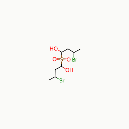 CC(Br)CC(O)S(=O)(=O)C(O)CC(C)Br